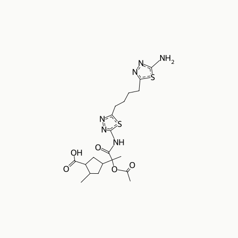 CC(=O)OC(C)(C(=O)Nc1nnc(CCCCc2nnc(N)s2)s1)C1CC(C)C(C(=O)O)C1